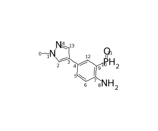 Cn1cc(-c2ccc(N)c([PH2]=O)c2)cn1